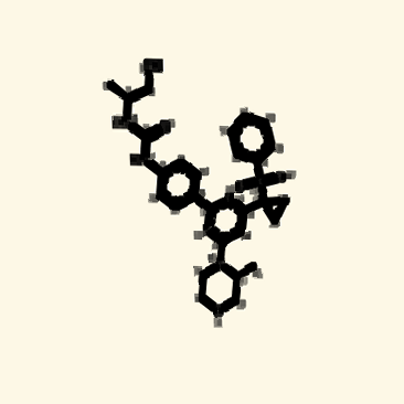 C[C@@H](CO)NC(=O)Nc1ccc(-c2nc(N3CCOC[C@@H]3C)cc(C3(S(=O)(=O)c4ccccc4)CC3)n2)cc1